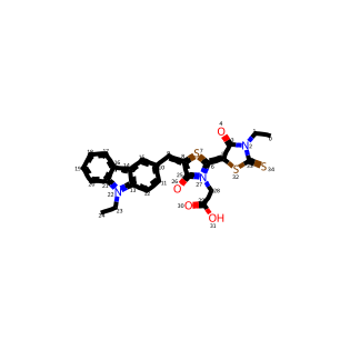 CCN1C(=O)/C(=c2\s/c(=C/c3ccc4c(c3)c3ccccc3n4CC)c(=O)n2CC(=O)O)SC1=S